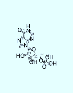 O=c1[nH]cnc2c1ncn2[C@@H]1O[C@H](COP(=O)(O)O)C(O)[C@@H]1O